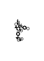 CCOC(=O)c1nn(-c2ccc(OC)cc2)c2c1C1(CC1)CN(c1ccc(C3(CS(C)(=O)=O)CC3)cc1)C2=O